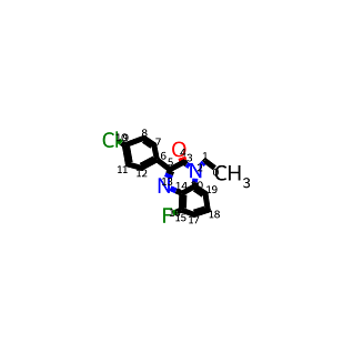 CCn1c(=O)c(-c2ccc(Cl)cc2)nc2c(F)cccc21